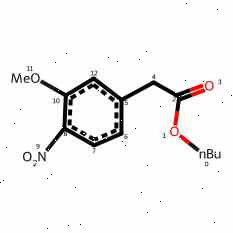 CCCCOC(=O)Cc1ccc([N+](=O)[O-])c(OC)c1